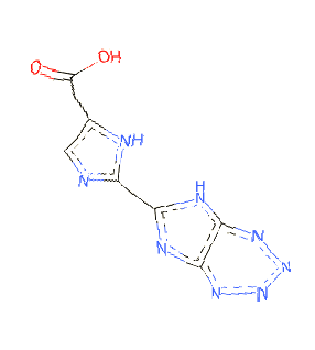 O=C(O)c1cnc(-c2nc3nnnnc3[nH]2)[nH]1